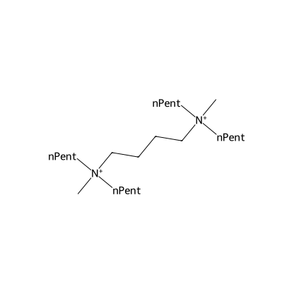 CCCCC[N+](C)(CCCCC)CCCC[N+](C)(CCCCC)CCCCC